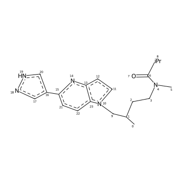 CC(CCN(C)C(=O)C(C)C)Cn1ccc2nc(-c3cn[nH]c3)ccc21